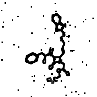 O=C(Cc1ccccc1)NC1C(=O)N(CC(=O)OCC(Cl)(Cl)Cl)C1C=CCSSc1nc2ccccc2s1